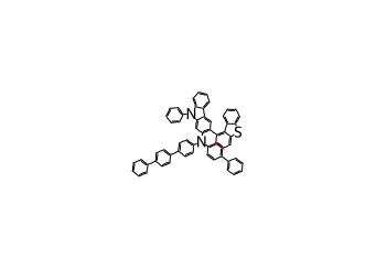 c1ccc(-c2ccc(-c3ccc(N(c4ccc(-c5ccccc5)cc4)c4cc5c(cc4-c4cccc6sc7ccccc7c46)c4ccccc4n5-c4ccccc4)cc3)cc2)cc1